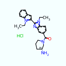 CCn1c(-c2nc3cc(C(=O)N4CCC[C@@H](N)C4)ccc3n2CC)cc2ccccc21.Cl